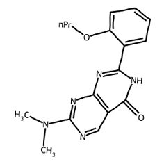 CCCOc1ccccc1-c1nc2nc(N(C)C)ncc2c(=O)[nH]1